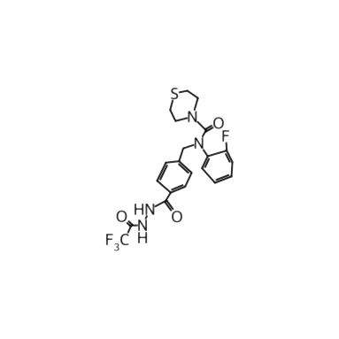 O=C(NNC(=O)C(F)(F)F)c1ccc(CN(C(=O)N2CCSCC2)c2ccccc2F)cc1